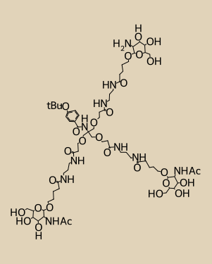 CC(=O)NC1C(OCCCCC(=O)NCCCNC(=O)CCOCC(COCCC(=O)NCCCNC(=O)CCCCOC2OC(CO)C(O)C(O)C2N)(COCCC(=O)NCCCNC(=O)CCCCOC2OC(CO)C(O)C(O)C2NC(C)=O)NC(=O)c2ccc(OC(C)(C)C)cc2)OC(CO)C(O)C1O